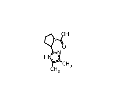 Cc1nc(C2CCCN2C(=O)O)[nH]c1C